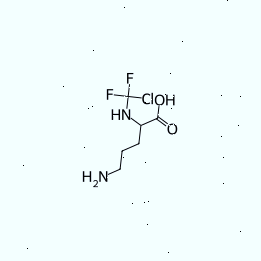 NCCCC(NC(F)(F)Cl)C(=O)O